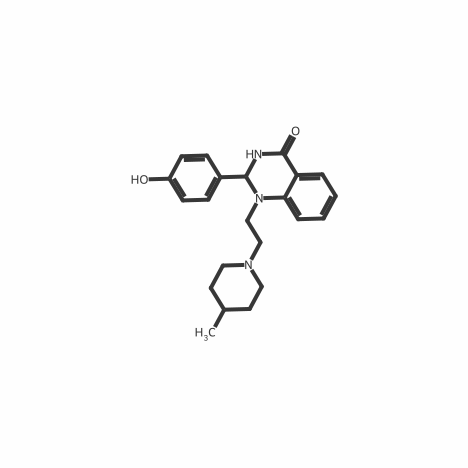 CC1CCN(CCN2c3ccccc3C(=O)NC2c2ccc(O)cc2)CC1